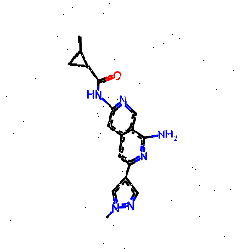 CC1CC1C(=O)Nc1cc2cc(-c3cnn(C)c3)nc(N)c2cn1